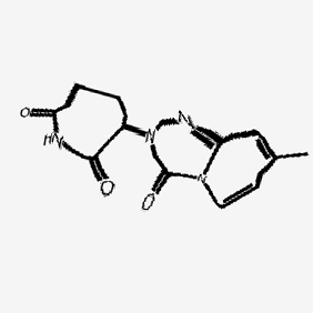 Cc1ccn2c(=O)n(C3CCC(=O)NC3=O)nc2c1